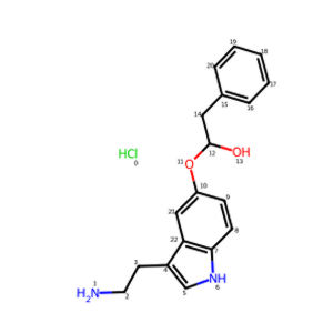 Cl.NCCc1c[nH]c2ccc(OC(O)Cc3ccccc3)cc12